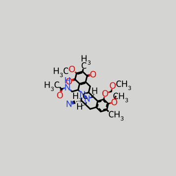 COCOc1c(OC)c(C)cc2c1[C@@H]1C3CC4=C(C(=O)C(OC)=C(C)C4=O)C(CNC(C)=O)N3[C@@H](C#N)[C@H](C2)N1C